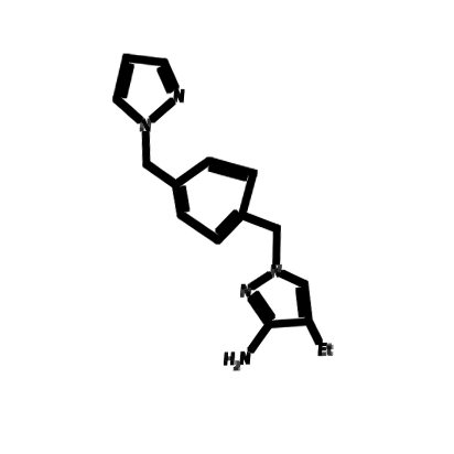 [CH2]Cc1cn(Cc2ccc(Cn3cccn3)cc2)nc1N